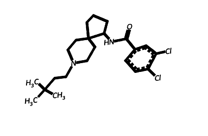 CC(C)(C)CCN1CCC2(CCCC2NC(=O)c2ccc(Cl)c(Cl)c2)CC1